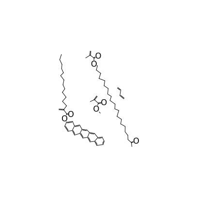 C=C(C)C(=O)OC.C=C(C)C(=O)OCCCCCCCCCCCCCCCCCCCCC(C)=O.C=C(CCCCCCCCCCCCC)C(=O)Oc1ccc2cc3cc4cc5ccccc5cc4cc3cc2c1.C=CC=C